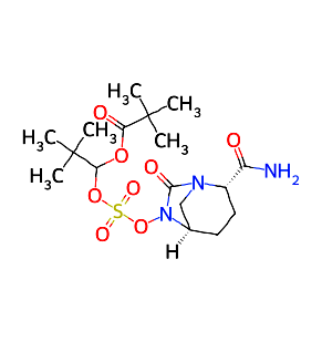 CC(C)(C)C(=O)OC(OS(=O)(=O)ON1C(=O)N2C[C@H]1CC[C@H]2C(N)=O)C(C)(C)C